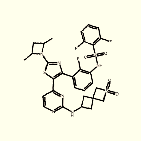 CC1CC(C)N1c1nc(-c2cccc(NS(=O)(=O)c3c(F)cccc3F)c2F)c(-c2ccnc(NC3CC4(C3)CS(=O)(=O)C4)n2)s1